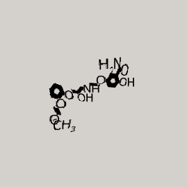 COCCOc1ccccc1OCC(O)CNCCOc1ccc(O)c(C(N)=O)c1